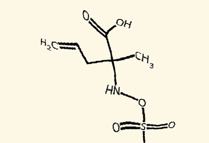 C=CCC(C)(NOS(=O)(=O)O)C(=O)O